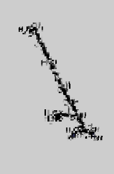 C[C@H](CCCCNC(=O)COCCOCCNC(=O)COCCOCCNC(=O)CCCC(=O)NCCCC[C@H](NC(=O)CCCC(=O)NC(CNC(C)(C)/C=N/O)CNC(C)(C)/C=N/O)C(=O)NCCCC[C@H](C)C(N)=O)C(N)=O